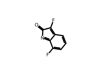 O=C1N=c2c(F)cccc2=C1F